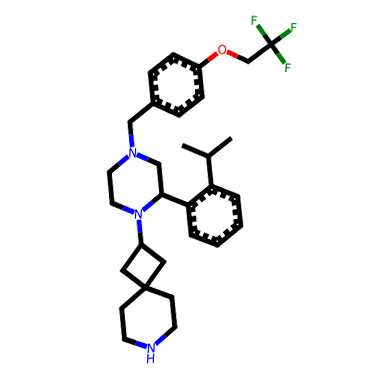 CC(C)c1ccccc1C1CN(Cc2ccc(OCC(F)(F)F)cc2)CCN1C1CC2(CCNCC2)C1